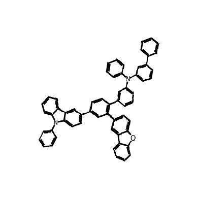 c1ccc(-c2cccc(N(c3ccccc3)c3cccc(-c4ccc(-c5ccc6c(c5)c5ccccc5n6-c5ccccc5)cc4-c4ccc5oc6ccccc6c5c4)c3)c2)cc1